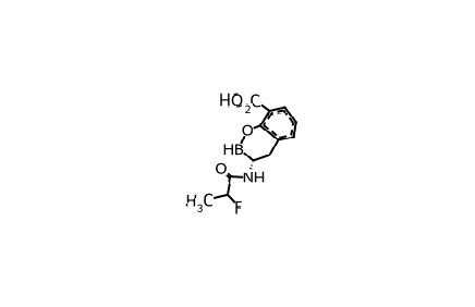 CC(F)C(=O)N[C@@H]1BOc2c(cccc2C(=O)O)C1